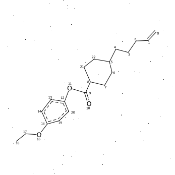 C=CCCCC1CCC(C(=O)Oc2ccc(OCC)cc2)CC1